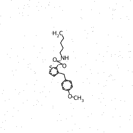 [CH2]CCCCNS(=O)(=O)c1sccc1Cc1ccc(OC)cc1